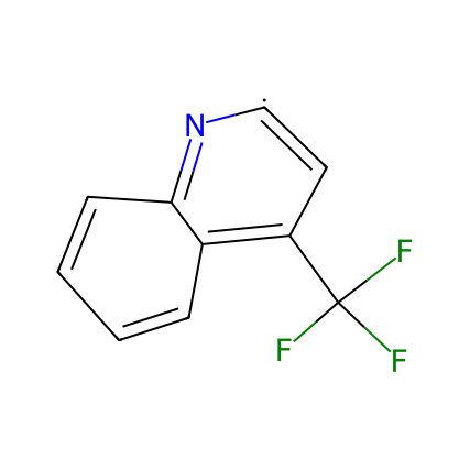 FC(F)(F)c1c[c]nc2ccccc12